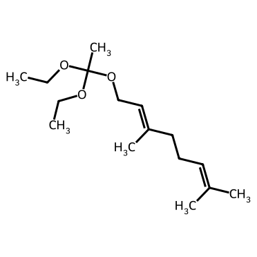 CCOC(C)(OCC)OC/C=C(\C)CCC=C(C)C